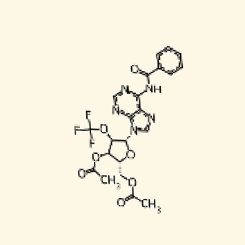 CC(=O)OC[C@H]1O[C@@H](n2cnc3c(NC(=O)c4ccccc4)ncnc32)[C@H](OC(F)(F)F)[C@@H]1OC(C)=O